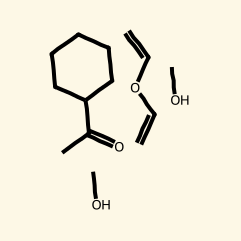 C=COC=C.CC(=O)C1CCCCC1.CO.CO